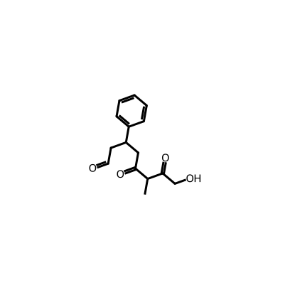 CC(C(=O)CO)C(=O)CC(CC=O)c1ccccc1